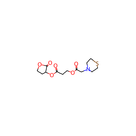 O=C(CN1CCSCC1)OCCC(=O)OC1CCOC1=O